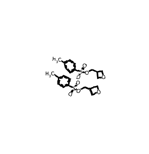 Cc1ccc(S(=O)(=O)OCC2COC2)cc1.Cc1ccc(S(=O)(=O)OCC2COC2)cc1